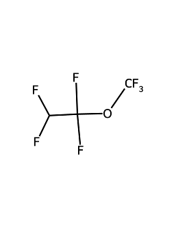 FC(F)C(F)(F)OC(F)(F)F